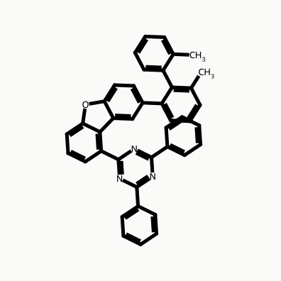 Cc1ccccc1-c1c(C)cccc1-c1ccc2oc3cccc(-c4nc(-c5ccccc5)nc(-c5ccccc5)n4)c3c2c1